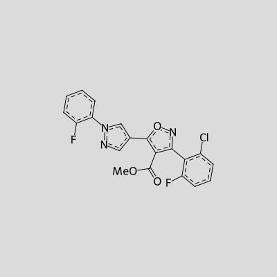 COC(=O)c1c(-c2c(F)cccc2Cl)noc1-c1cnn(-c2ccccc2F)c1